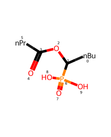 CCCCC(OC(=O)CCC)P(=O)(O)O